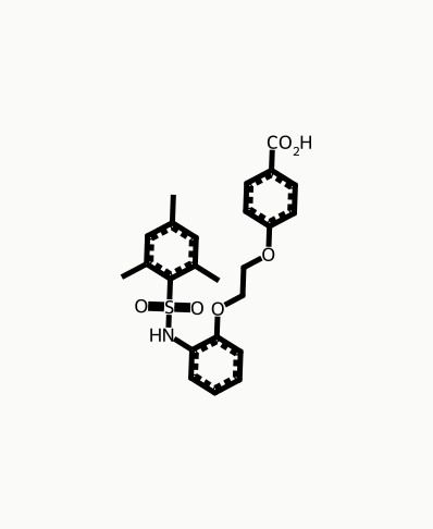 Cc1cc(C)c(S(=O)(=O)Nc2ccccc2OCCOc2ccc(C(=O)O)cc2)c(C)c1